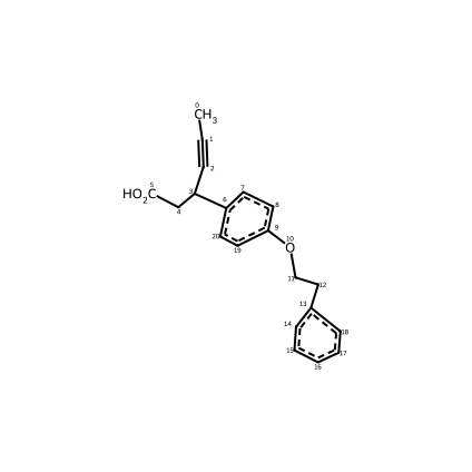 CC#CC(CC(=O)O)c1ccc(OCCc2ccccc2)cc1